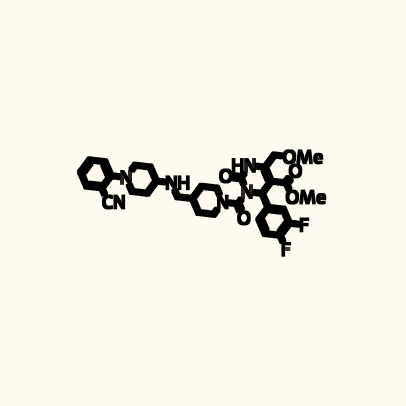 COCC1=C(C(=O)OC)C(c2ccc(F)c(F)c2)N(C(=O)N2CCC(CNC3CCN(c4ccccc4C#N)CC3)CC2)C(=O)N1